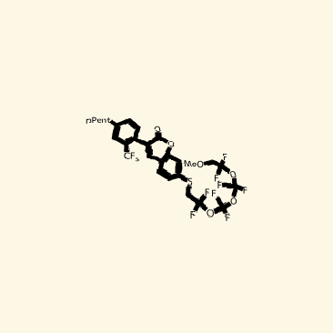 CCCCCc1ccc(-c2cc3ccc(SCC(F)(F)OC(F)(F)OC(F)(F)OC(F)(F)COC)cc3oc2=O)c(C(F)(F)F)c1